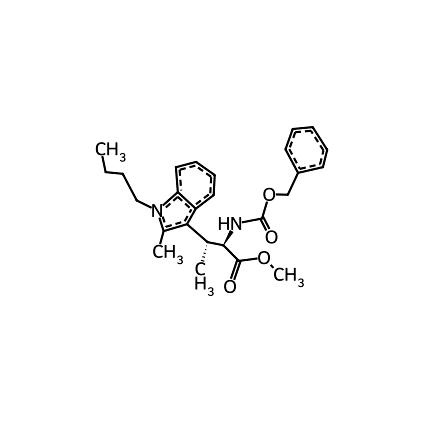 CCCCn1c(C)c([C@@H](C)[C@@H](NC(=O)OCc2ccccc2)C(=O)OC)c2ccccc21